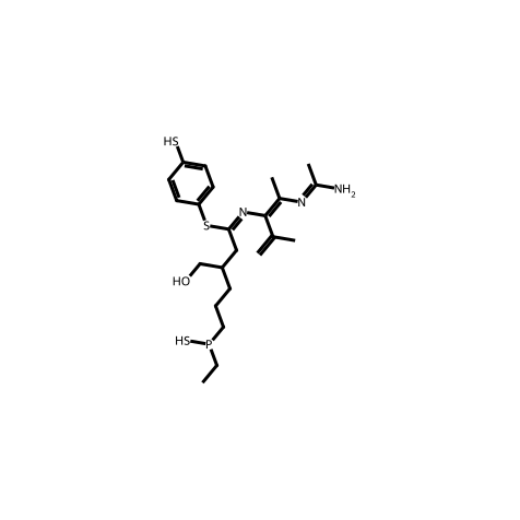 C=C(C)C(/N=C(\CC(CO)CCCP(S)CC)Sc1ccc(S)cc1)=C(C)\N=C(/C)N